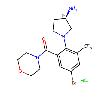 Cl.N[C@@H]1CCN(c2c(C(=O)N3CCOCC3)cc(Br)cc2C(F)(F)F)C1